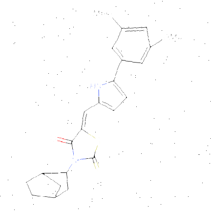 COc1cc(OC)cc(-c2ccc(C=C3SC(=S)N(C4CC5CCC4C5)C3=O)[nH]2)c1